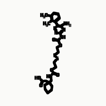 Cc1cccc(-c2nnc(NC(=O)OCCSSCCOC(=O)NCC3(CC(=O)O)CCCCC3)nc2N)c1C